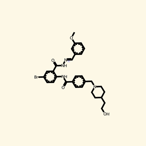 COc1cccc(/C=N/NC(=O)c2cc(Br)ccc2NC(=O)c2ccc(CN3CCC(CCO)CC3)cc2)c1